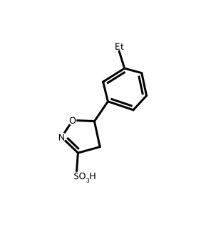 CCc1cccc(C2CC(S(=O)(=O)O)=NO2)c1